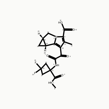 CNC(=O)C1(NC(=O)C(=O)c2c(C)c(C(=O)O)n3c2[C@@H]2C[C@@H]2C3)CC(F)(F)C1